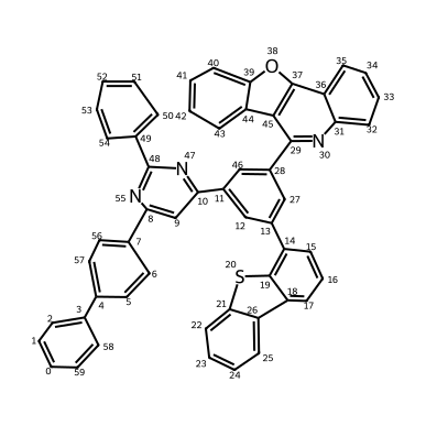 c1ccc(-c2ccc(-c3cc(-c4cc(-c5cccc6c5sc5ccccc56)cc(-c5nc6ccccc6c6oc7ccccc7c56)c4)nc(-c4ccccc4)n3)cc2)cc1